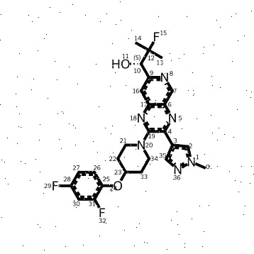 Cn1cc(-c2nc3cnc([C@H](O)C(C)(C)F)cc3nc2N2CCC(Oc3ccc(F)cc3F)CC2)cn1